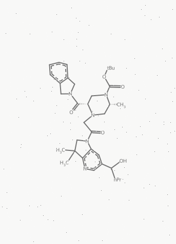 CCCC(O)c1cnc2c(c1)N(C(=O)CN1C[C@@H](C)N(C(=O)OC(C)(C)C)C[C@H]1C(=O)N1Cc3ccccc3C1)CC2(C)C